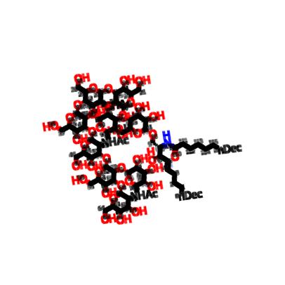 CCCCCCCCCCCCC/C=C/[C@@H](O)[C@H](CO[C@@H]1OC(CO)[C@@H](O[C@@H]2OC(CO)[C@H](O)[C@H](O[C@@H]3OC(CO)[C@@H](O[C@@H]4OC(CO)[C@H](O)[C@H](O[C@H]5OC(CO)[C@H](O)[C@H](O[C@@H]6OC(CO)[C@H](O)[C@H](O[C@H]7OC(CO)[C@H](O)[C@H](O)C7NC(C)=O)C6O[C@H]6OC(C)[C@@H](O)C(O)[C@@H]6O)C5NC(C)=O)C4O[C@H]4OC(C)[C@@H](O)C(O)[C@@H]4O)[C@H](O)C3NC(C)=O)C2O)[C@H](O)C1O)NC(=O)CCCCCCCCCCCCCCC